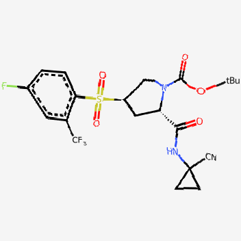 CC(C)(C)OC(=O)N1C[C@H](S(=O)(=O)c2ccc(F)cc2C(F)(F)F)C[C@H]1C(=O)NC1(C#N)CC1